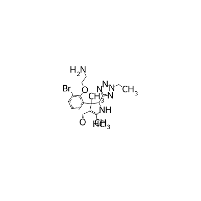 CCn1nnc(C2NC(C)=C(C=O)C2(C)c2cccc(Br)c2OCCN)n1.Cl